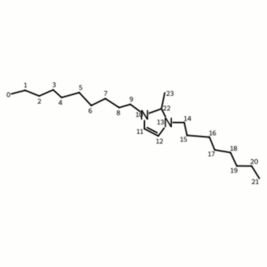 CCCCCCCCCCN1C=CN(CCCCCCCC)C1C